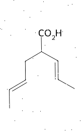 CC=CCC(C=CC)C(=O)O